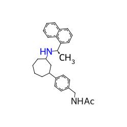 CC(=O)NCc1ccc(C2CCCCC(N[C@H](C)c3cccc4ccccc34)C2)cc1